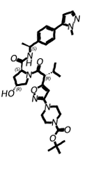 CC(C)[C@@H](C(=O)N1C[C@H](O)C[C@H]1C(=O)N[C@@H](C)c1ccc(-c2ccnn2C)cc1)c1cc(N2CCN(C(=O)OC(C)(C)C)CC2)no1